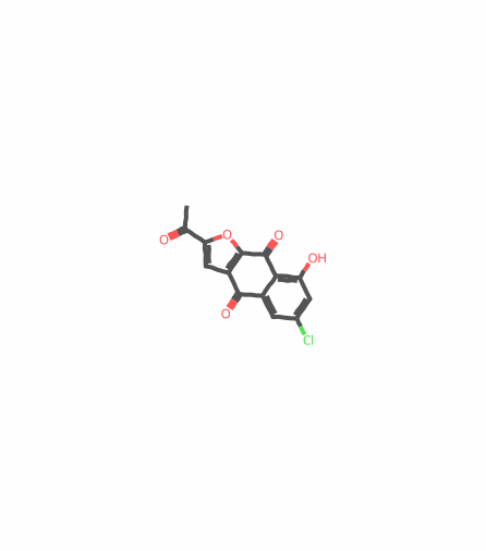 CC(=O)c1cc2c(o1)C(=O)c1c(O)cc(Cl)cc1C2=O